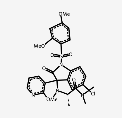 COc1ccc(S(=O)(=O)N2C(=O)C(c3cccnc3OC)(N(C)[C@@H](C)C(=O)N(C)C)c3cc(Cl)ccc32)c(OC)c1